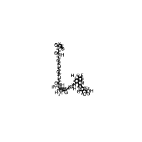 CC[C@@]1(O)C(=O)OCc2c1cc1n(c2=O)Cc2c-1nc1cc(F)c(C)c3c1c2[C@@H](NCOCCNC(=O)[C@H](C)NC(=O)[C@@H](NC(=O)CCOCCOCCOCCOCCNC(=O)CCN1C(=O)C=CC1=O)C(C)C)CC3